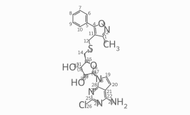 Cc1noc(-c2ccccc2)c1CSC[C@H]1O[C@@H](n2ccc3c(N)nc(Cl)nc32)[C@H](O)[C@@H]1O